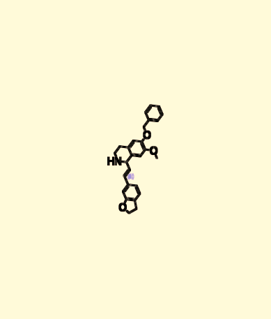 COc1cc2c(cc1OCc1ccccc1)CCNC2/C=C/c1ccc2c(c1)OCC2